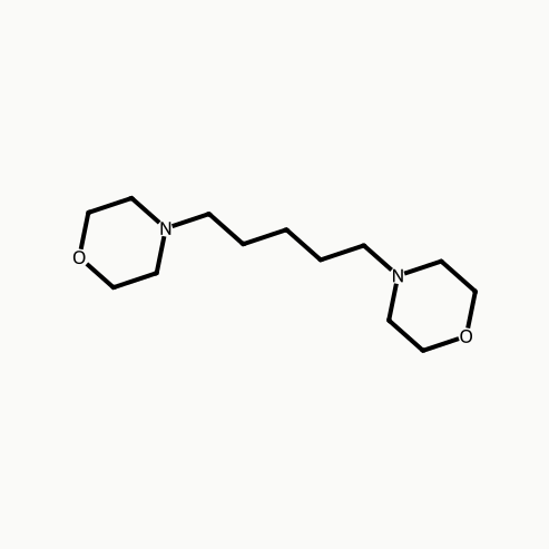 C(CCN1CCOCC1)CCN1CCOCC1